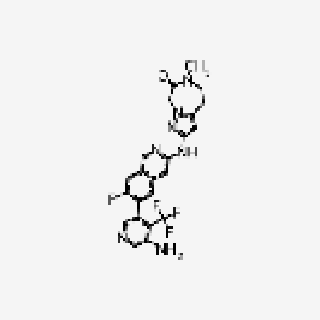 CN1CCc2cc(Nc3cc4cc(-c5cncc(N)c5C(F)(F)F)c(F)cc4cn3)nn2CC1=O